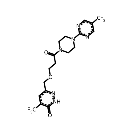 O=C(CCOCc1cc(C(F)(F)F)c(=O)[nH]n1)N1CCN(c2ncc(C(F)(F)F)cn2)CC1